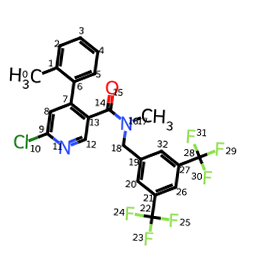 Cc1ccccc1-c1cc(Cl)ncc1C(=O)N(C)Cc1cc(C(F)(F)F)cc(C(F)(F)F)c1